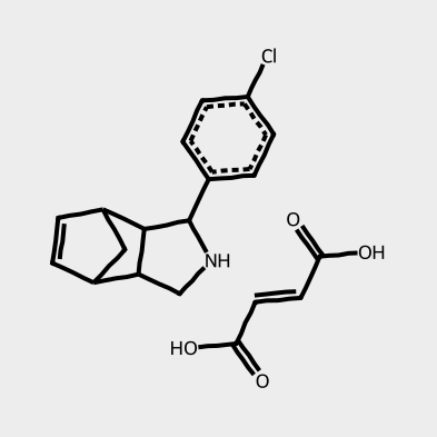 Clc1ccc(C2NCC3C4C=CC(C4)C23)cc1.O=C(O)/C=C/C(=O)O